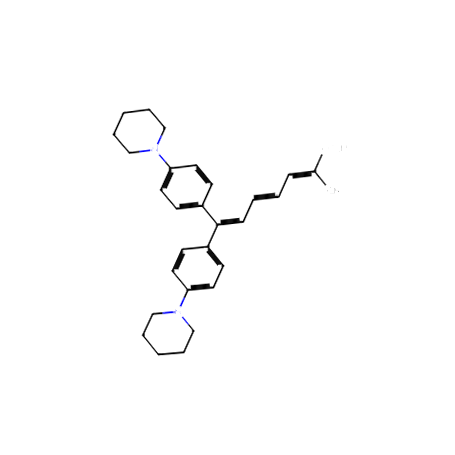 N#C/C(=C\C=C\C=C(c1ccc(N2CCCCC2)cc1)c1ccc(N2CCCCC2)cc1)C(=O)O